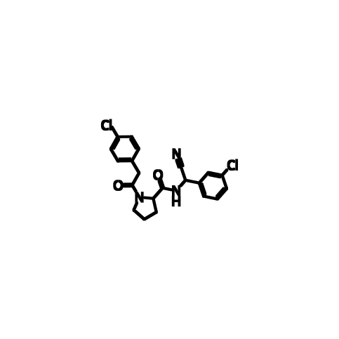 N#CC(NC(=O)C1CCCN1C(=O)Cc1ccc(Cl)cc1)c1cccc(Cl)c1